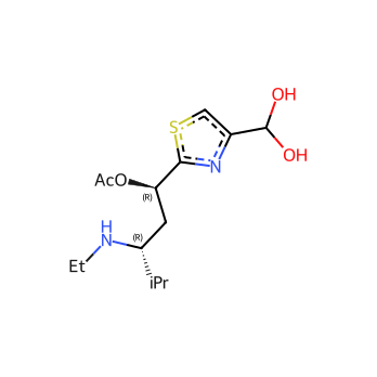 CCN[C@H](C[C@@H](OC(C)=O)c1nc(C(O)O)cs1)C(C)C